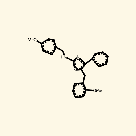 COc1ccc(CNc2nc(-c3ccccc3)c(Cc3ccccc3OC)s2)cc1